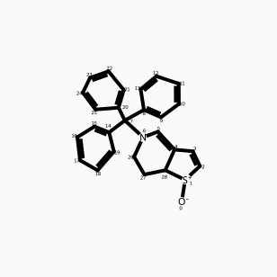 [O-][S+]1C=CC2=CN(C(c3ccccc3)(c3ccccc3)c3ccccc3)CCC21